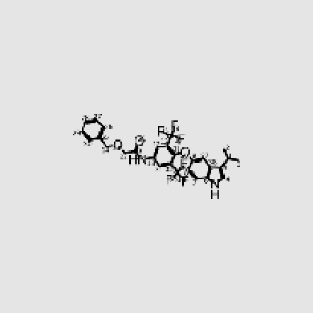 CC(C)c1c[nH]c2ccc(Oc3c(C(F)(F)F)cc(NC(=O)COCc4ccccc4)cc3C(F)(F)F)cc12